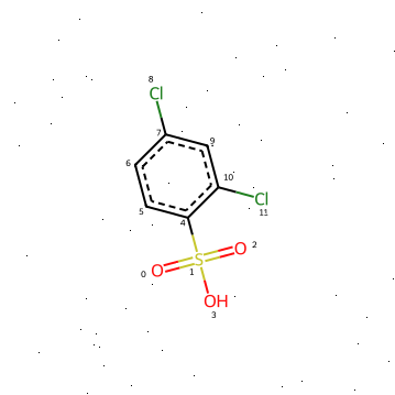 O=S(=O)(O)c1ccc(Cl)[c]c1Cl